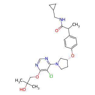 CC(C(=O)NCC1CC1)c1ccc(O[C@@H]2CCN(c3ncnc(OCC(C)(C)O)c3Cl)C2)cc1